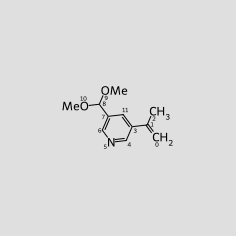 C=C(C)c1cncc(C(OC)OC)c1